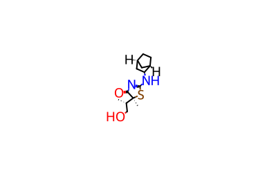 C[C@@H](CO)[C@]1(C)SC(N[C@H]2C[C@H]3CC[C@H]2C3)=NC1=O